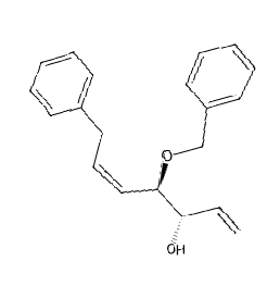 C=C[C@H](O)[C@@H](/C=C\Cc1ccccc1)OCc1ccccc1